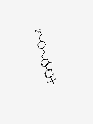 CCCC1CCC(CCc2ccc(-c3ccc(C(F)(F)F)nc3)c(F)c2)CC1